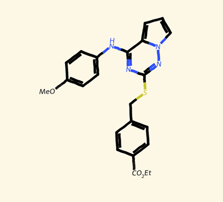 CCOC(=O)c1ccc(CSc2nc(Nc3ccc(OC)cc3)c3cccn3n2)cc1